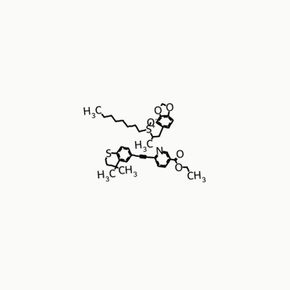 CCCCCCCC[S+]([O-])C(C)Cc1ccc2c(c1)OCO2.CCOC(=O)c1ccc(C#Cc2ccc3c(c2)C(C)(C)CCS3)nc1